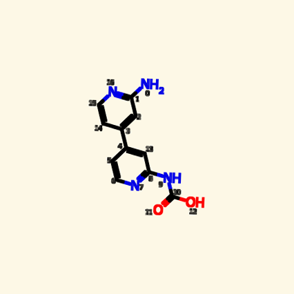 Nc1cc(-c2ccnc(NC(=O)O)c2)ccn1